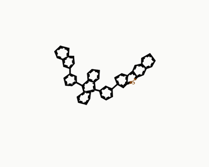 c1cc(-c2ccc3ccccc3c2)cc(-c2c3ccccc3c(-c3cccc(-c4ccc5c(c4)sc4cc6ccccc6cc45)c3)c3ccccc23)c1